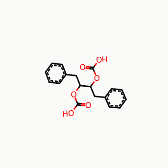 O=C(O)OC(Cc1ccccc1)C(Cc1ccccc1)OC(=O)O